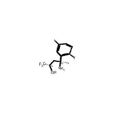 C[C@](N)(C[C@H](O)C(F)(F)F)c1cc(I)ccc1F